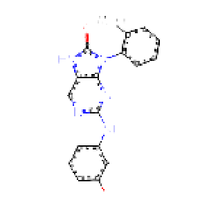 COc1ccccc1-n1c(=O)[nH]c2cnc(Nc3cccc(O)c3)nc21